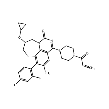 C=CC(=O)N1CCN(c2nc(=O)n3c4c(c(-c5ccc(F)cc5F)c(C)cc24)SCC(OC2CC2)C3)CC1